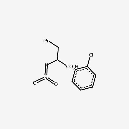 CC(C)CC(N=S(=O)=O)C(=O)O.Clc1ccccc1